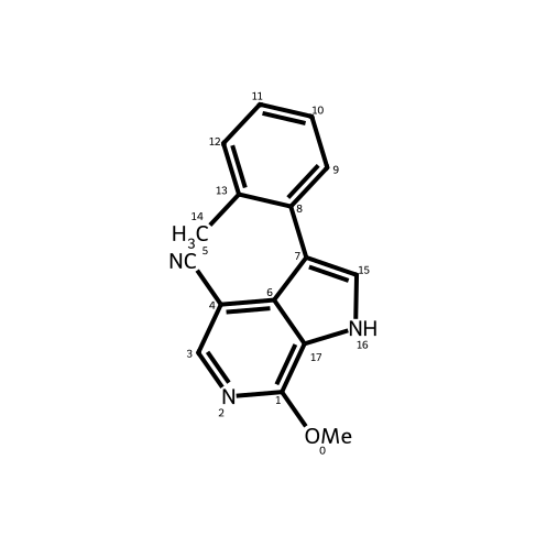 COc1ncc(C#N)c2c(-c3ccccc3C)c[nH]c12